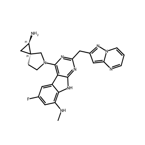 CNc1cc(F)cc2c1[nH]c1nc(Cc3cc4ncccn4n3)nc(N3CC[C@@]4(C[C@H]4N)C3)c12